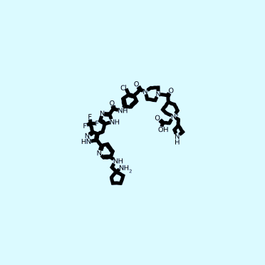 NC1(CNc2ccc(-c3[nH]nc(C(F)(F)F)c3Cc3cnc(C(=O)Nc4ccc(C(=O)N5CCN(C(=O)C6CC[N+](CC(=O)O)(CC7CNC7)CC6)CC5)c(Cl)c4)[nH]3)nc2)CCCC1